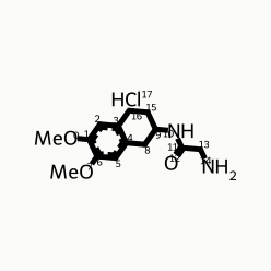 COc1cc2c(cc1OC)CC(NC(=O)CN)CC2.Cl